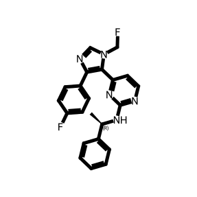 C[C@@H](Nc1nccc(-c2c(-c3ccc(F)cc3)ncn2CF)n1)c1ccccc1